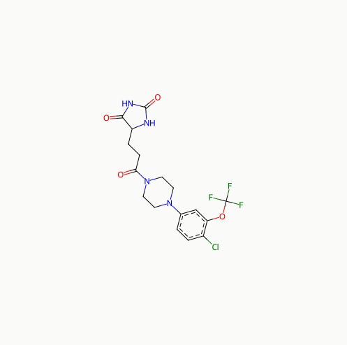 O=C1NC(=O)C(CCC(=O)N2CCN(c3ccc(Cl)c(OC(F)(F)F)c3)CC2)N1